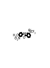 Cc1ccc(NC(=O)c2cccc([S+]([O-])C(F)(F)F)c2)cc1[N+](=O)[O-]